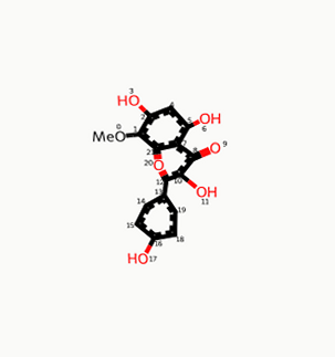 COc1c(O)cc(O)c2c(=O)c(O)c(-c3ccc(O)cc3)oc12